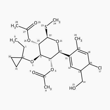 CCC1(O[C@@H]2[C@@H](OC(C)=O)[C@H](C3=CC(CO)C(Cl)C=C3C)O[C@H](SC)[C@H]2OC(C)=O)CC1